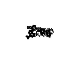 C[C@H](Nc1ncc(C#N)c(-c2cnc3c(C4CC4)cccn23)n1)c1ccc(C(O)[C@]2(C)CCCN2C)cc1